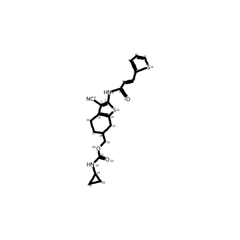 N#Cc1c(NC(=O)C=Cc2cccs2)sc2c1CCC(COC(=O)NC1CC1)C2